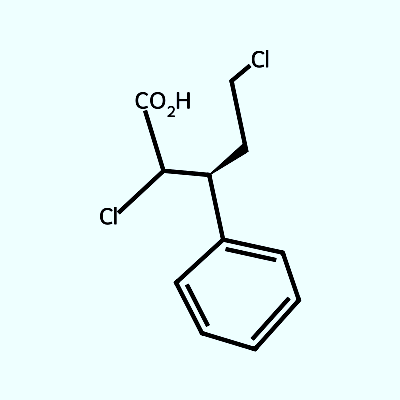 O=C(O)C(Cl)[C@@H](CCCl)c1ccccc1